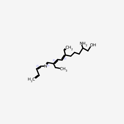 C=C\C=C/N=C/C(=C/C=C(\C=C)CCCC(N)CO)CC